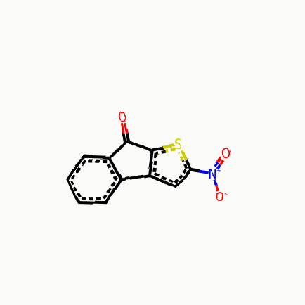 O=C1c2ccccc2-c2cc([N+](=O)[O-])sc21